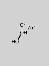 OO.[O-2].[Zn+2]